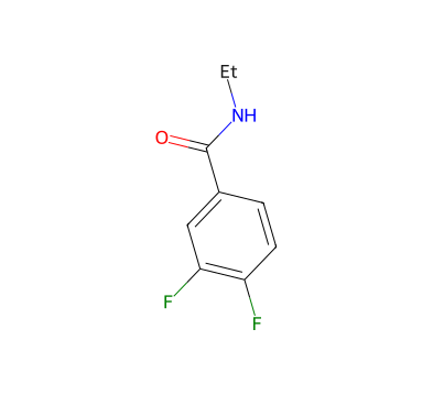 CCNC(=O)c1ccc(F)c(F)c1